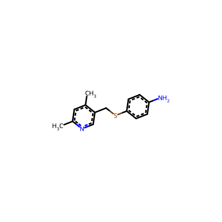 Cc1cc(C)c(CSc2ccc(N)cc2)cn1